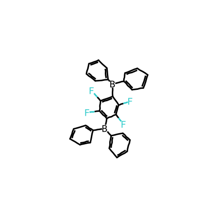 Fc1c(F)c(B(c2ccccc2)c2ccccc2)c(F)c(F)c1B(c1ccccc1)c1ccccc1